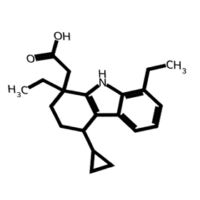 CCc1cccc2c3c([nH]c12)C(CC)(CC(=O)O)CCC3C1CC1